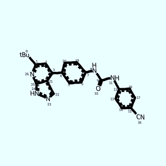 CC(C)(C)c1cc(-c2ccc(NC(=O)Nc3ccc(C#N)cc3)cc2)c2cn[nH]c2n1